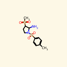 Cc1ccc(S(=O)(=O)N2CCC(S(C)(=O)=O)C2N)cc1